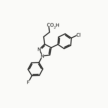 O=C(O)CCc1nn(-c2ccc(F)cc2)cc1-c1ccc(Cl)cc1